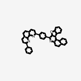 c1ccc(-c2ccc3ccc4ccc(-c5ccc(-c6nc7ccc8ccccc8c7c7c6oc6ccccc67)cc5)nc4c3n2)cc1